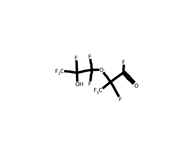 O=C(F)C(F)(OC(F)(F)C(O)(F)C(F)(F)F)C(F)(F)F